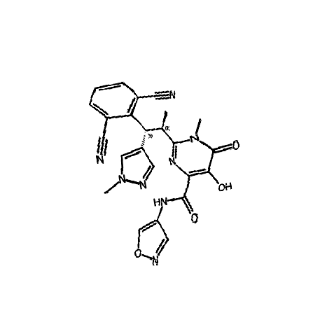 C[C@@H](c1nc(C(=O)Nc2cnoc2)c(O)c(=O)n1C)[C@H](c1cnn(C)c1)c1c(C#N)cccc1C#N